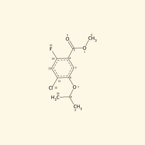 COC(=O)c1cc(OC(C)C)c(Cl)cc1F